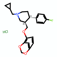 Cl.Fc1ccc([C@H]2CCN(CC3CC3)C[C@@H]2COc2ccc3cc2OCO3)cc1